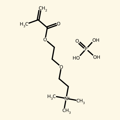 C=C(C)C(=O)OCCOCC[N+](C)(C)C.O=P(O)(O)O